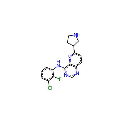 Fc1c(Cl)cccc1Nc1ncnc2ccc([C@H]3CCNC3)nc12